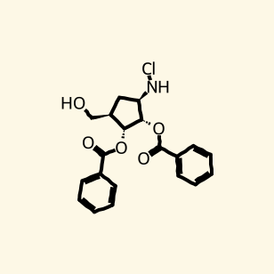 O=C(O[C@@H]1[C@@H](CO)C[C@@H](NCl)[C@@H]1OC(=O)c1ccccc1)c1ccccc1